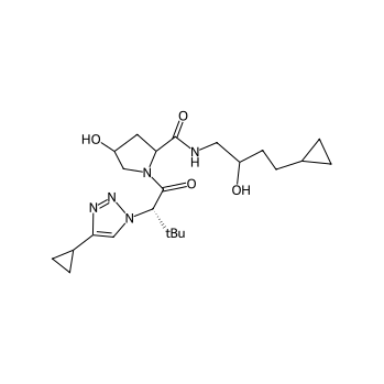 CC(C)(C)[C@@H](C(=O)N1CC(O)CC1C(=O)NCC(O)CCC1CC1)n1cc(C2CC2)nn1